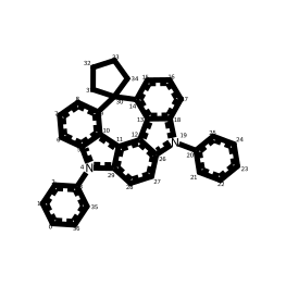 c1ccc(-n2c3cccc4c3c3c5c6c(cccc6n(-c6ccccc6)c5ccc32)C42CCCC2)cc1